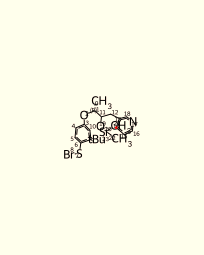 C[C@@H](Oc1ccc(SBr)cc1)C(Cc1cccnc1)O[Si](C)(C)C(C)(C)C